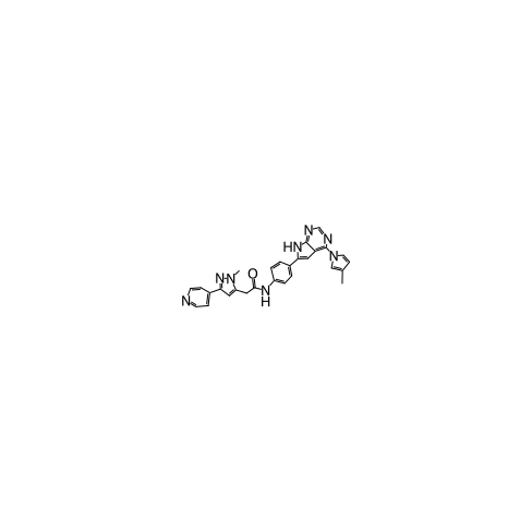 Cc1ccn(-c2ncnc3[nH]c(-c4ccc(NC(=O)Cc5cc(-c6ccncc6)nn5C)cc4)cc23)c1